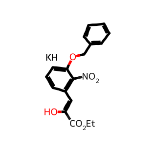 CCOC(=O)C(O)=Cc1cccc(OCc2ccccc2)c1[N+](=O)[O-].[KH]